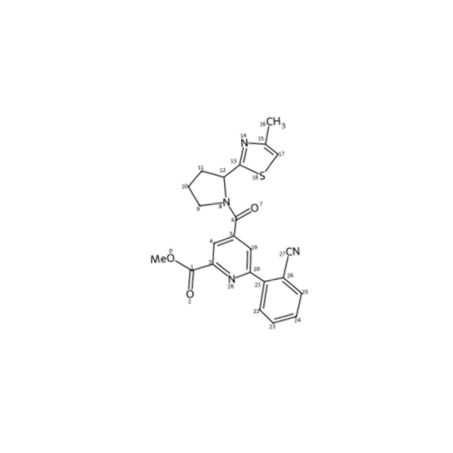 COC(=O)c1cc(C(=O)N2CCCC2c2nc(C)cs2)cc(-c2ccccc2C#N)n1